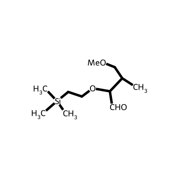 COCC(C)C(C=O)OCC[Si](C)(C)C